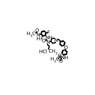 CCCCN(C(=O)Nc1c(F)ccc(NC(C)=O)c1F)C1CCN(Cc2ccc(Oc3ccc(NS(C)(=O)=O)cc3)cc2)CC1.Cl